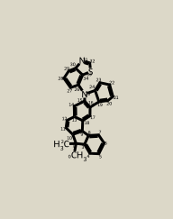 CC1(C)c2ccccc2-c2c1ccc1cc3c(cc21)c1ccccc1n3-c1cccc2ncsc12